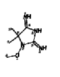 CON1C(=N)NC(=N)C1(C)C